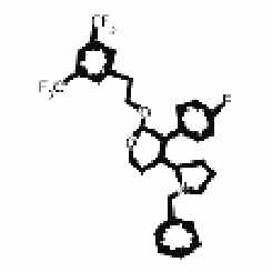 Fc1ccc(C2C(OCCc3cc(C(F)(F)F)cc(C(F)(F)F)c3)OCCC2C2CCCN2Cc2ccccc2)cc1